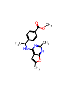 COC(=O)c1ccc([C@H](C)Nc2nc(C)nc3oc(C)cc23)cc1